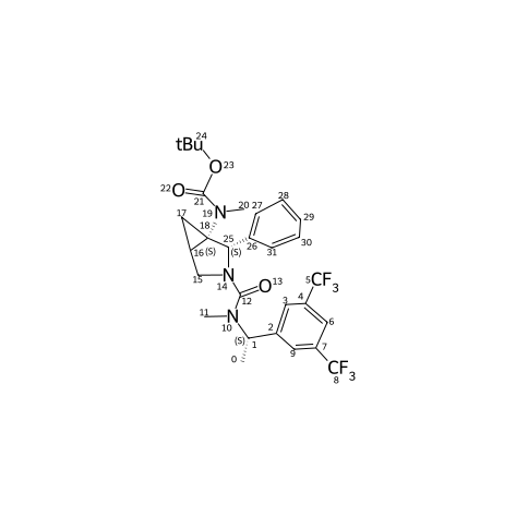 C[C@@H](c1cc(C(F)(F)F)cc(C(F)(F)F)c1)N(C)C(=O)N1CC2C[C@@]2(N(C)C(=O)OC(C)(C)C)[C@@H]1c1ccccc1